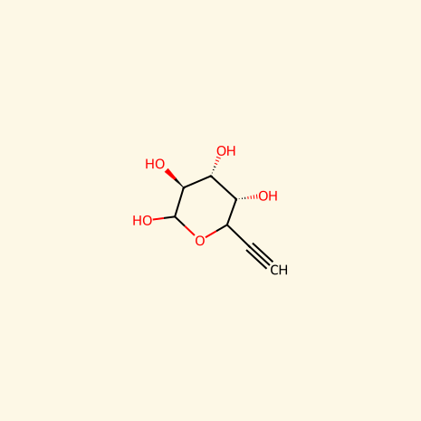 C#CC1OC(O)[C@@H](O)[C@H](O)[C@@H]1O